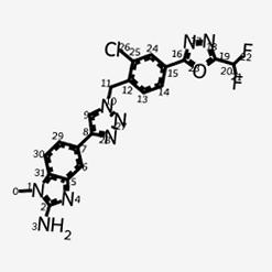 Cn1c(N)nc2cc(-c3cn(Cc4ccc(-c5nnc(C(F)F)o5)cc4Cl)nn3)ccc21